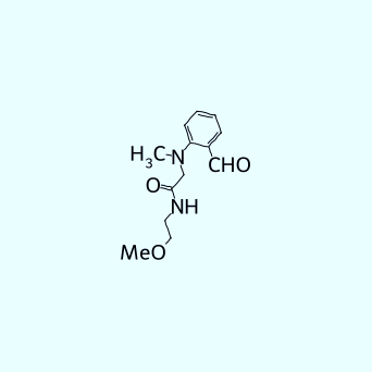 COCCNC(=O)CN(C)c1ccccc1C=O